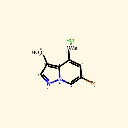 COc1cc(Br)cn2ncc(C(=O)O)c12.Cl